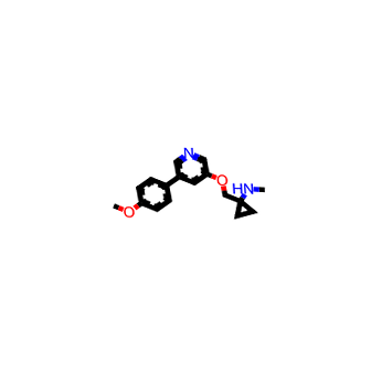 CNC1(COc2cncc(-c3ccc(OC)cc3)c2)CC1